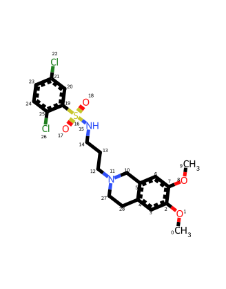 COc1cc2c(cc1OC)CN(CCCNS(=O)(=O)c1cc(Cl)ccc1Cl)CC2